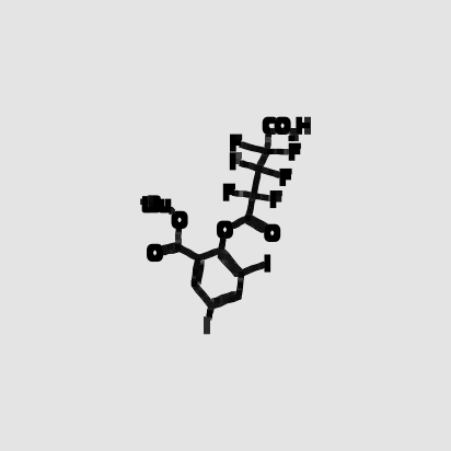 CC(C)(C)OC(=O)c1cc(I)cc(I)c1OC(=O)C(F)(F)C(F)(F)C(F)(F)C(=O)O